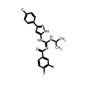 CC(C)N/C(=N/C(=O)c1ccc(F)c(F)c1)Nc1cc(-c2ccc(F)cc2)n[nH]1